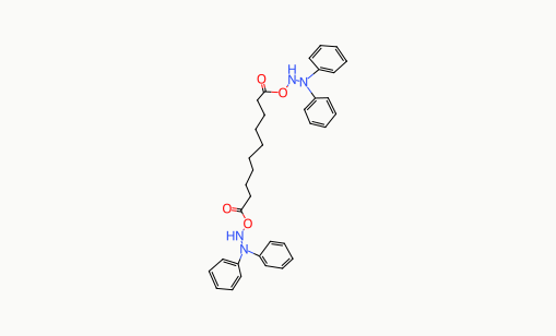 O=C(CCCCCCCCC(=O)ONN(c1ccccc1)c1ccccc1)ONN(c1ccccc1)c1ccccc1